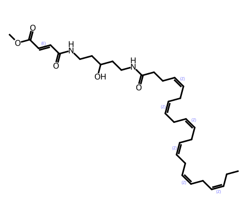 CC/C=C\C/C=C\C/C=C\C/C=C\C/C=C\C/C=C\CCC(=O)NCCC(O)CCNC(=O)/C=C/C(=O)OC